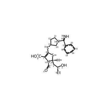 CC[C@H](O)[C@@H]1C(=O)N2C(C(=O)O)=C(S[C@H]3CCN(C(=N)c4ccccc4)C3)S[C@H]12